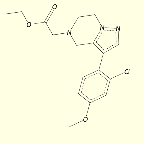 CCOC(=O)CN1CCn2ncc(-c3ccc(OC)cc3Cl)c2C1